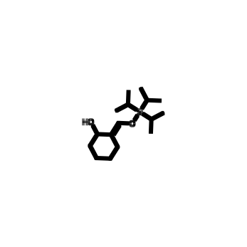 CC(C)[Si](OC=C1CCCCC1O)(C(C)C)C(C)C